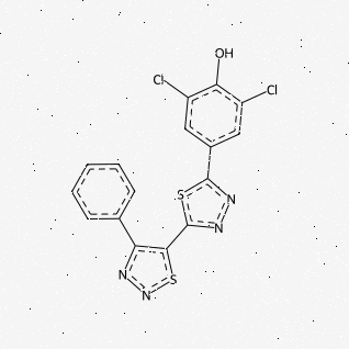 Oc1c(Cl)cc(-c2nnc(-c3snnc3-c3ccccc3)s2)cc1Cl